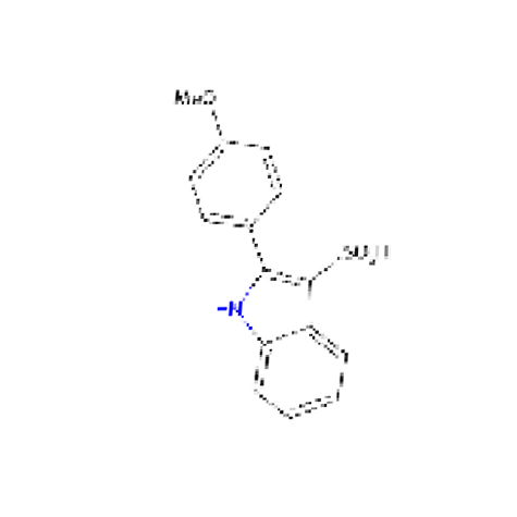 COc1ccc(-c2[nH]c3ccccc3c2S(=O)(=O)O)cc1